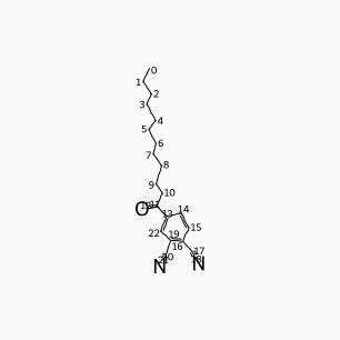 CCCCCCCCCCCC(=O)c1ccc(C#N)c(C#N)c1